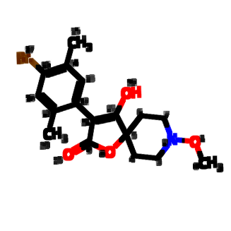 CON1CCC2(CC1)OC(=O)C(c1cc(C)c(Br)cc1C)=C2O